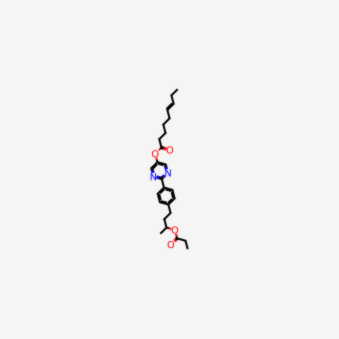 CC/C=C/CCCCC(=O)Oc1cnc(-c2ccc(CCC(C)OC(=O)CC)cc2)nc1